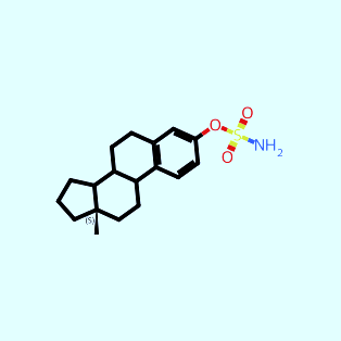 C[C@@]12CCCC1C1CCc3cc(OS(N)(=O)=O)ccc3C1CC2